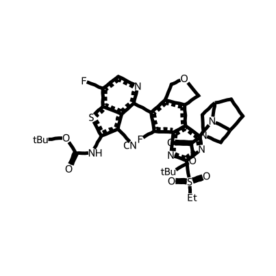 CCS(=O)(=O)c1nc(N2C3CCC2CN(C(=O)OC(C)(C)C)C3)c2c3c(c(-c4ncc(F)c5sc(NC(=O)OC(C)(C)C)c(C#N)c45)c(F)c2n1)COC3